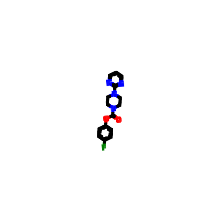 O=C(Oc1ccc(F)cc1)N1CCN(c2ncccn2)CC1